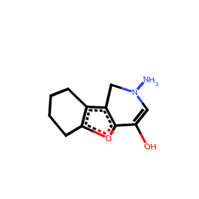 NN1C=C(O)c2oc3c(c2C1)CCCC3